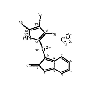 C=C1C=c2ccccc2=[C]1[Ti+2][c]1[nH]c(C)c(C)c1C.[Cl-].[Cl-]